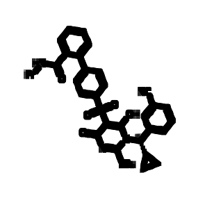 CCCCc1nc(=O)c(S(=O)(=O)c2ccc(-c3ccccc3C(=O)NC(C)C)cc2)c(O)n1[C@H](c1cccc(C#N)c1)C1CC1